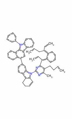 C=CCCc1c(C)nc(-n2c3c(c4ccc(-c5cc6c7ccccc7n(-c7ccccc7)c6c6ccccc56)cc42)CCC=C3)nc1/C(C=C)=c1\cccc\c1=C(/C=C)CC=C